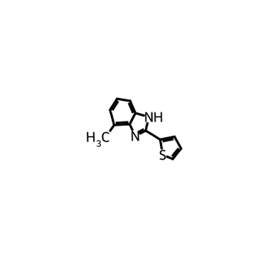 Cc1cccc2[nH]c(-c3cccs3)nc12